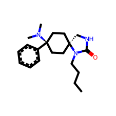 CCCCN1C(=O)NC[C@]12CC[C@](c1ccccc1)(N(C)C)CC2